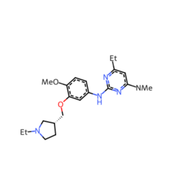 CCc1cc(NC)nc(Nc2ccc(OC)c(OC[C@@H]3CCN(CC)C3)c2)n1